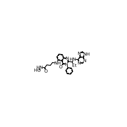 CCC(Nc1ncnc2[nH]cnc12)c1nc2cccc(NCCCC(=O)NO)c2c(=O)n1-c1ccccc1